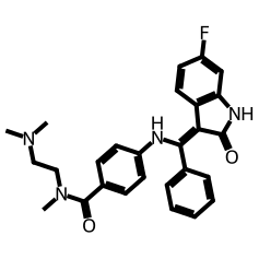 CN(C)CCN(C)C(=O)c1ccc(NC(=C2C(=O)Nc3cc(F)ccc32)c2ccccc2)cc1